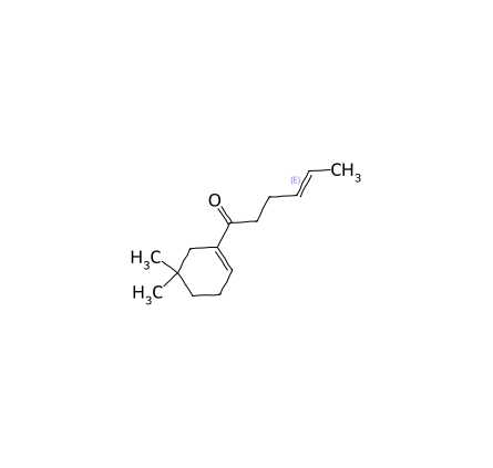 C/C=C/CCC(=O)C1=CCCC(C)(C)C1